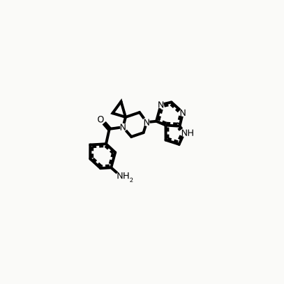 Nc1cccc(C(=O)N2CCN(c3ncnc4[nH]ccc34)CC23CC3)c1